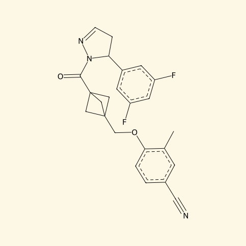 Cc1cc(C#N)ccc1OCC12CC(C(=O)N3N=CCC3c3cc(F)cc(F)c3)(C1)C2